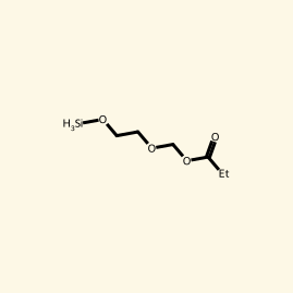 CCC(=O)OCOCCO[SiH3]